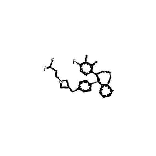 Cc1c(F)ccc(C2=C(c3ccc(CC4CN(CCC(F)F)C4)cc3)c3ccccc3CCC2)c1C